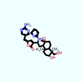 C[C@]12CC[C@@H](O)[C@@](C)(CO)C1CCC1(CO1)C2CC(Nc1ccccn1)C1=C/C(=C\c2cnc(N)nc2)OC1=O